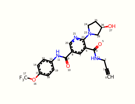 C#CCNC(=O)c1cc(C(=O)Nc2ccc(OC(F)(F)F)cc2)cnc1N1CC[C@@H](O)C1